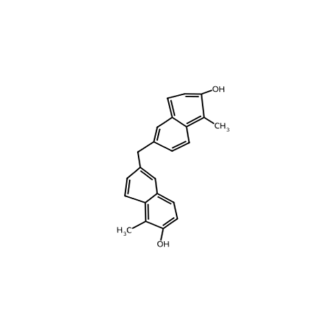 Cc1c(O)ccc2cc(Cc3ccc4c(C)c(O)ccc4c3)ccc12